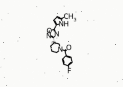 Cc1ccc(-c2nc([C@H]3CCCN(C(=O)c4ccc(F)cc4)C3)no2)[nH]1